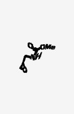 COC(=O)NCC1CO1